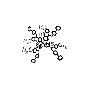 Cc1ccc(C(=Cc2ccc(-c3ccccc3)cc2)c2cc[c]([Sn]([c]3ccc(C(=Cc4ccc(-c5ccccc5)cc4)c4ccc(C)cc4S)cc3)([c]3ccc(C(=Cc4ccc(-c5ccccc5)cc4)c4ccc(C)cc4S)cc3)[c]3ccc(C(=Cc4ccc(-c5ccccc5)cc4)c4ccc(C)cc4S)cc3)cc2)c(S)c1